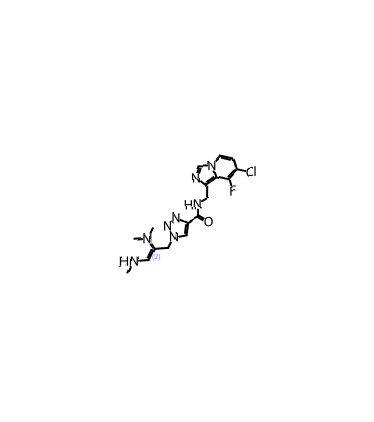 CN/C=C(/Cn1cc(C(=O)NCc2ncn3ccc(Cl)c(F)c23)nn1)N(C)C